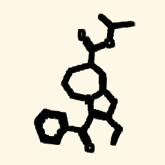 CCC1=C(C(=O)c2ccccc2)N2CCCC(C(=O)OC(C)C)C=C2C1